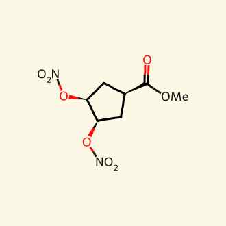 COC(=O)[C@@H]1C[C@H](O[N+](=O)[O-])[C@H](O[N+](=O)[O-])C1